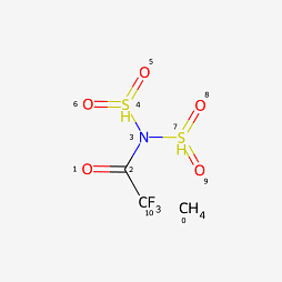 C.O=C(N([SH](=O)=O)[SH](=O)=O)C(F)(F)F